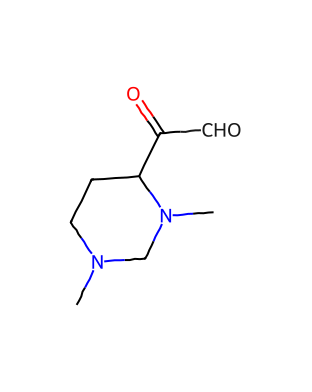 CN1CCC(C(=O)C=O)N(C)C1